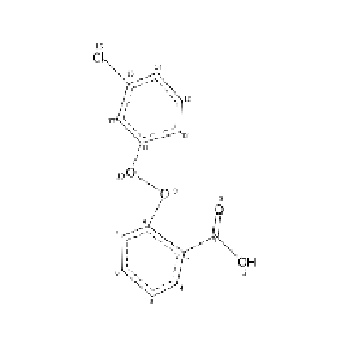 O=C(O)c1ccccc1OOc1cccc(Cl)c1